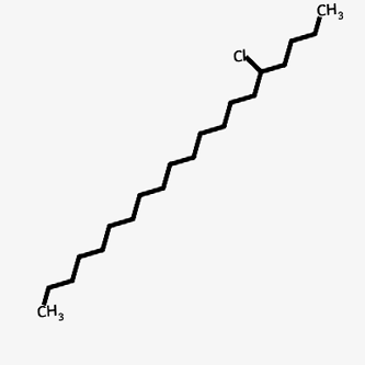 CCCCCCCCCCCCCCCC(Cl)CCCC